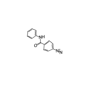 N#[N+]c1ccc(C(=O)Nc2ccccc2)cc1